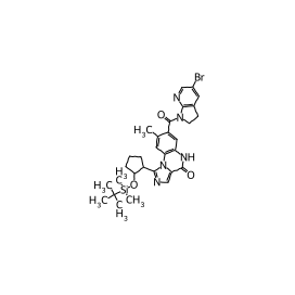 Cc1cc2c(cc1C(=O)N1CCc3cc(Br)cnc31)[nH]c(=O)c1cnc(C3CCCC3O[Si](C)(C)C(C)(C)C)n12